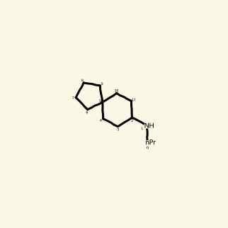 CCCNC1CCC2(CCCC2)CC1